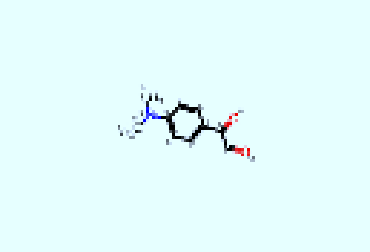 CN(C)c1ccc(C(=O)C=O)cc1